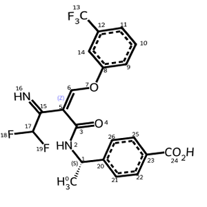 C[C@H](NC(=O)/C(=C\Oc1cccc(C(F)(F)F)c1)C(=N)C(F)F)c1ccc(C(=O)O)cc1